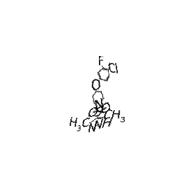 Cc1n[nH]c(C)c1S(=O)(=O)N1CCC(Oc2ccc(Cl)c(F)c2)CC1